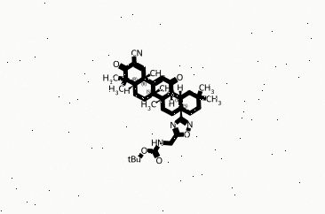 CC1(C)CC[C@]2(c3noc(CNC(=O)OC(C)(C)C)n3)CC[C@]3(C)[C@H](C(=O)C=C4[C@@]5(C)C=C(C#N)C(=O)C(C)(C)[C@@H]5CC[C@]43C)[C@@H]2C1